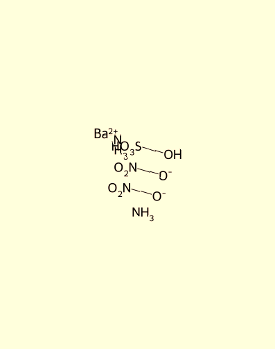 N.N.O=S(=O)(O)O.O=[N+]([O-])[O-].O=[N+]([O-])[O-].[Ba+2]